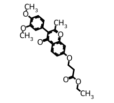 CCOC(=O)CCOc1ccc2c(=O)c(-c3ccc(OC)c(OC)c3)c(C)oc2c1